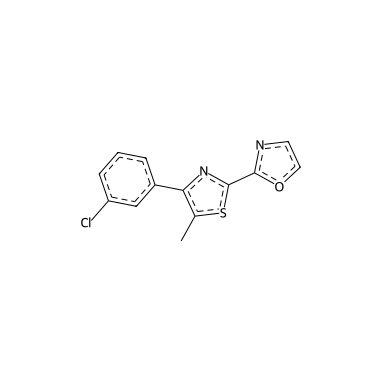 Cc1sc(-c2ncco2)nc1-c1cccc(Cl)c1